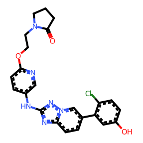 O=C1CCCN1CCOc1ccc(Nc2nc3ccc(-c4cc(O)ccc4Cl)cn3n2)cn1